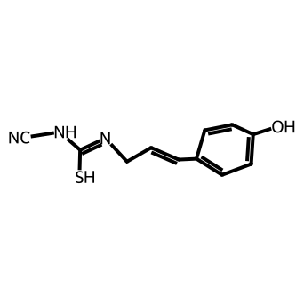 N#CNC(S)=NCC=Cc1ccc(O)cc1